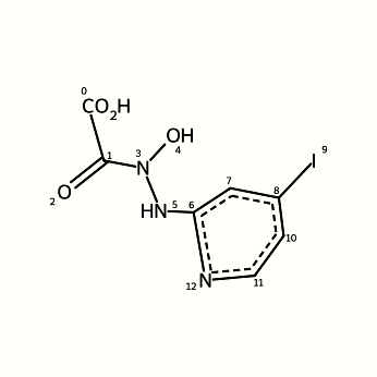 O=C(O)C(=O)N(O)Nc1cc(I)ccn1